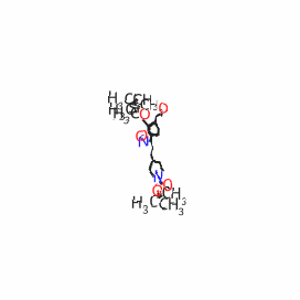 CC(C)(C)OC(=O)N1CCC(CCc2noc3c(CO[Si](C)(C)C(C)(C)C)c(CC=O)ccc23)CC1